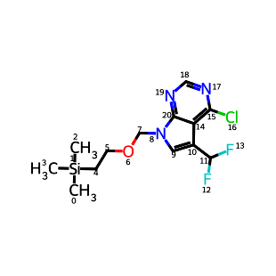 C[Si](C)(C)CCOCn1cc(C(F)F)c2c(Cl)ncnc21